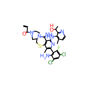 C=CC(=O)N1CCN2C(=N)c3c(Nc4c(C)ccnc4C(C)O)nc(-c4c(N)c(Cl)cc(Cl)c4F)c(C)c3SCC2C1